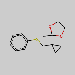 CC1(C2(CSc3ccccc3)CC2)OCCO1